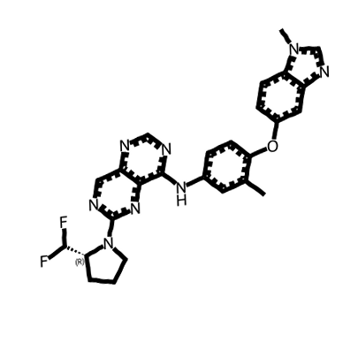 Cc1cc(Nc2ncnc3cnc(N4CCC[C@@H]4C(F)F)nc23)ccc1Oc1ccc2c(c1)ncn2C